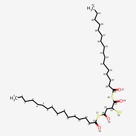 CCCCCCCCCCCCCCCC(=O)SC(=O)CC(S)C(=O)SC(=O)CCCCCCCCCCCCCCC